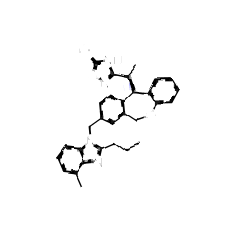 CCCc1nc2c(C)cccc2n1Cc1ccc2c(c1)COc1ccccc1/C2=C(\C)c1noc(=O)[nH]1